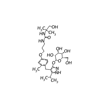 Cc1cc(OCCCNC(=O)NC(C)(C)CO)ccc1Cc1c(O[C@@H]2O[C@H](CO)[C@H](O)[C@H](O)[C@H]2O)n[nH]c1C(C)C